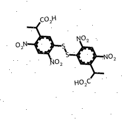 CC(C(=O)O)c1cc(SSc2cc(C(C)C(=O)O)c([N+](=O)[O-])cc2[N+](=O)[O-])c([N+](=O)[O-])cc1[N+](=O)[O-]